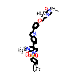 Cc1ccc(S(=O)(=O)n2ccc3c(-c4ccc5nc(-c6ccc(OCCCN7CCN(C)C(=O)[C@H]7C)cc6)ccc5c4)cn(C)c(=O)c32)cc1